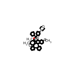 COc1ccc2c3c(c4c(c2c1)OC(c1ccccc1)(c1ccc(N2CCOCC2)cc1)C=C4)C1(CC(C)(C)CC(C)(C)C1)c1ccccc1-c1ccccc1-3